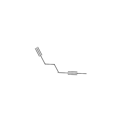 C#CCC[CH]C#CC